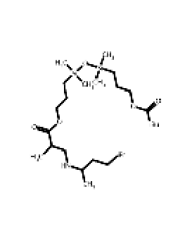 CCC(C)C(=O)OCCC[Si](C)(C)O[Si](C)(C)CCCOC(=O)C(C)CNC(C)CCC(C)C